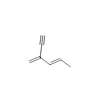 C=C(C#N)C=CC